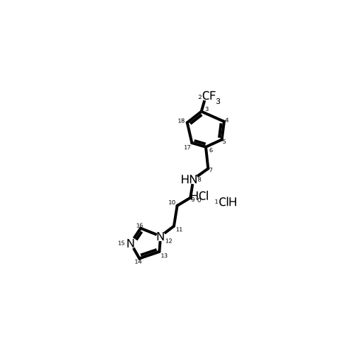 Cl.Cl.FC(F)(F)c1ccc(CNCCCn2ccnc2)cc1